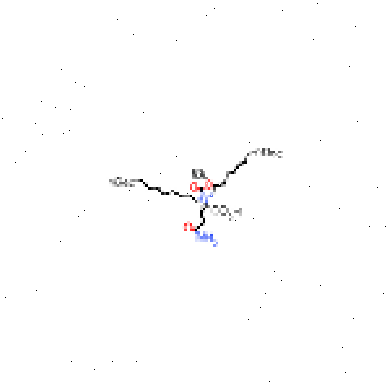 CCCCCCCCCCCCCCCCCC[N+](CCCCCCCCCCCCCCCCCC)(C(=O)OC(C)(C)C)[C@@H](CCC(N)=O)C(=O)O